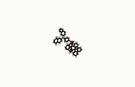 c1ccc(C2(c3ccccc3)c3ccccc3C3(c4ccccc4-c4c(-c5ccc(N(c6ccc7ccccc7c6)c6ccc7ccccc7c6)cc5)cccc43)c3ccccc32)cc1